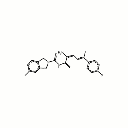 C=C(NC(=O)N1Cc2ccc(C)cc2C1)/C(N)=C\C=C(/C)c1ccc(F)cc1